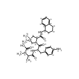 CC(C(=O)NC(Cc1ccc(N)cc1)C(=O)N1C[Si](C)(C)CC1C(=O)NC1CCCc2ccccc21)N(C)C(=O)O